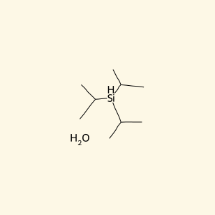 CC(C)[SiH](C(C)C)C(C)C.O